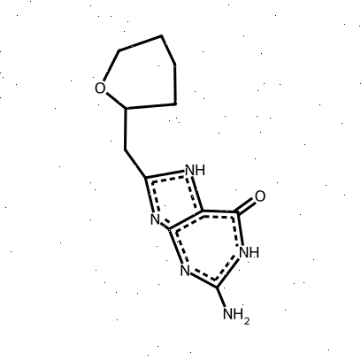 Nc1nc2nc(CC3CCCCO3)[nH]c2c(=O)[nH]1